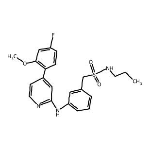 CCCNS(=O)(=O)Cc1cccc(Nc2cc(-c3ccc(F)cc3OC)ccn2)c1